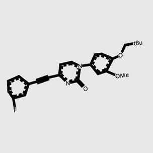 COc1cc(-n2ccc(C#Cc3cccc(F)c3)nc2=O)ccc1OCC(C)(C)C